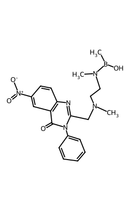 CB(O)N(C)CCN(C)Cc1nc2ccc([N+](=O)[O-])cc2c(=O)n1-c1ccccc1